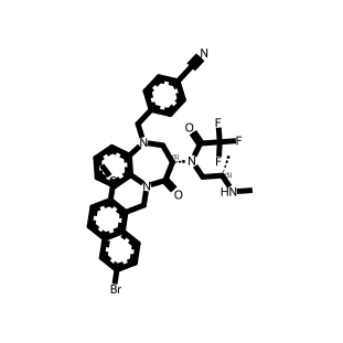 CN[C@@H](C)CN(C(=O)C(F)(F)F)[C@H]1CN(Cc2ccc(C#N)cc2)c2ccccc2N(Cc2c(OC)ccc3cc(Br)ccc23)C1=O